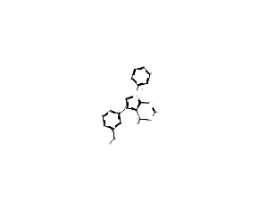 OCc1cccc(-c2cn(-c3ccccc3)c3c2C(O)NC=N3)c1